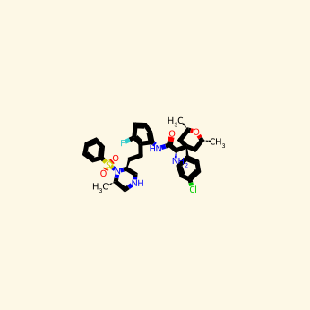 C[C@@H]1C[C@](c2ccc(Cl)cc2)([C@H](N)C(=O)Nc2cccc(F)c2CC[C@H]2CNC[C@H](C)N2S(=O)(=O)c2ccccc2)C[C@H](C)O1